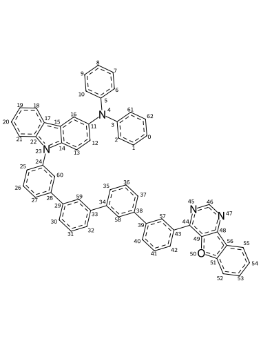 c1ccc(N(c2ccccc2)c2ccc3c(c2)c2ccccc2n3-c2cccc(-c3cccc(-c4cccc(-c5cccc(-c6ncnc7c6oc6ccccc67)c5)c4)c3)c2)cc1